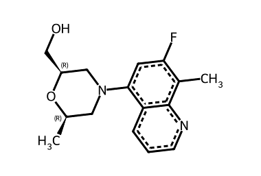 Cc1c(F)cc(N2C[C@H](CO)O[C@H](C)C2)c2cccnc12